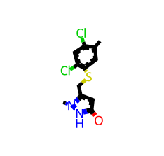 Cc1cc(SCc2cc(=O)[nH]n2C)c(Cl)cc1Cl